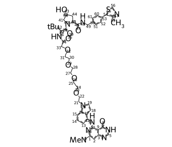 CNc1cc2nc[nH]c(=O)c2c(Nc2cccc3c2ccn3CCOCCOCCOCCOCC(=O)N[C@H](C(=O)N2C[C@H](O)C[C@H]2C(=O)NCc2ccc(-c3scnc3C)cc2)C(C)(C)C)n1